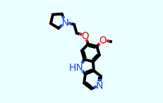 COc1cc2c(cc1OCCN1CCCC1)[nH]c1ccncc12